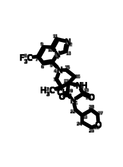 CC1(C)CN(c2cc(C(F)(F)F)cc3cncn23)CCC12NC(=O)N(CC1CCOCC1)C2=O